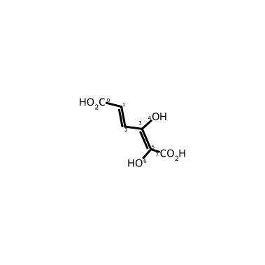 O=C(O)C=CC(O)=C(O)C(=O)O